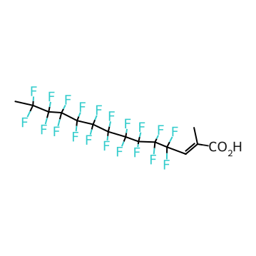 CC(=CC(F)(F)C(F)(F)C(F)(F)C(F)(F)C(F)(F)C(F)(F)C(F)(F)C(F)(F)C(F)(F)C(C)(F)F)C(=O)O